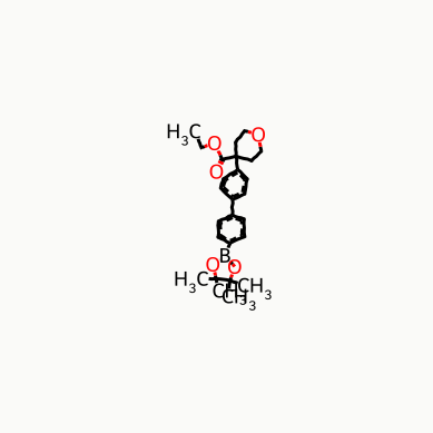 CCOC(=O)C1(c2ccc(-c3ccc(B4OC(C)(C)C(C)(C)O4)cc3)cc2)CCOCC1